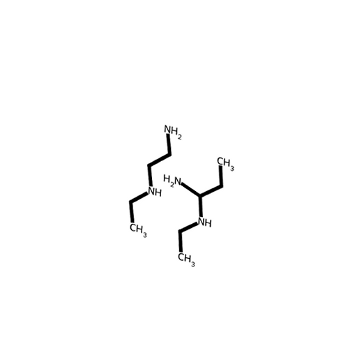 CCNC(N)CC.CCNCCN